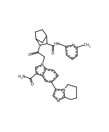 Cc1cccc(NC(=O)C2C3CCC(C3)N2C(=O)Cn2cc(C(N)=O)c3cc(-c4cnc5n4CCCC5)ccc32)n1